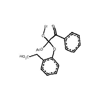 CCOC(OC(C)=O)(Oc1ccccc1CC(=O)O)C(=O)c1ccccc1